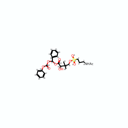 CC(=O)NCCCS(=O)(=O)OCC(C)(C)[C@@H](O)C(=O)OC(OC(=O)Oc1ccccc1)c1ccccc1